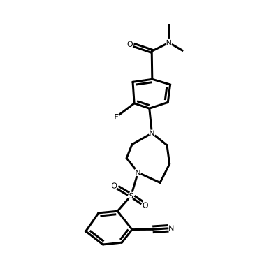 CN(C)C(=O)c1ccc(N2CCCN(S(=O)(=O)c3ccccc3C#N)CC2)c(F)c1